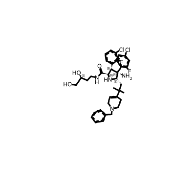 CC(C)(C[C@@H]1N[C@@H](C(=O)NCC[C@H](O)CO)[C@H](c2cccc(Cl)c2F)[C@@]1(N)c1ccc(Cl)cc1F)C1=CCN(Cc2ccccc2)CC1